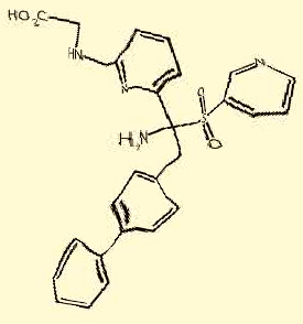 NC(Cc1ccc(-c2ccccc2)cc1)(c1cccc(NCC(=O)O)n1)S(=O)(=O)c1cccnc1